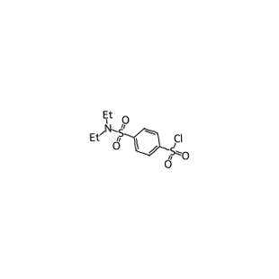 CCN(CC)S(=O)(=O)c1ccc(S(=O)(=O)Cl)cc1